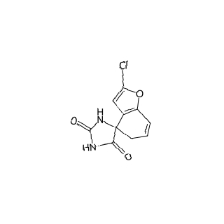 O=C1NC(=O)C2(CC=Cc3oc(Cl)cc32)N1